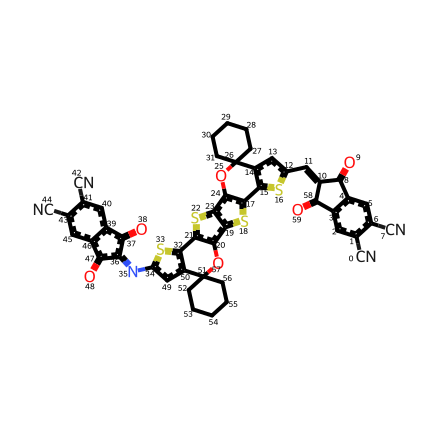 N#Cc1cc2c(cc1C#N)C(=O)C(=Cc1cc3c(s1)-c1sc4c5c(sc4c1OC31CCCCC1)-c1sc(N=c3c(=O)c4cc(C#N)c(C#N)cc4c3=O)cc1C1(CCCCC1)O5)C2=O